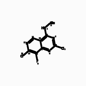 CC(C)(C)Nc1nc(Cl)nc2c(F)c(Cl)ncc12